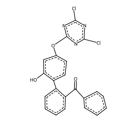 O=C(c1ccccc1)c1ccccc1-c1ccc(Oc2nc(Cl)nc(Cl)n2)cc1O